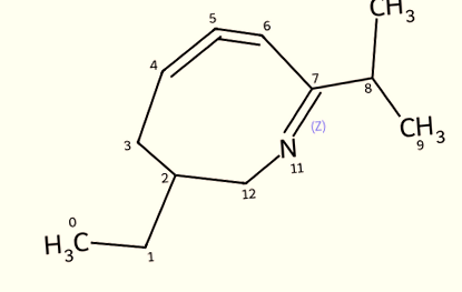 CCC1CC=C=C/C(C(C)C)=N\C1